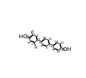 Cc1cc(-c2ccc(-c3ccc(O)cc3)cc2)c(C)cc1O